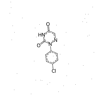 O=c1cnn(-c2ccc(Cl)cc2)c(=O)[nH]1